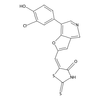 O=C1NC(=S)S/C1=C/c1cc2cncc(-c3ccc(O)c(Cl)c3)c2o1